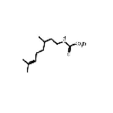 CCOC(=O)C(=O)NCCC(C)CCC=C(C)C